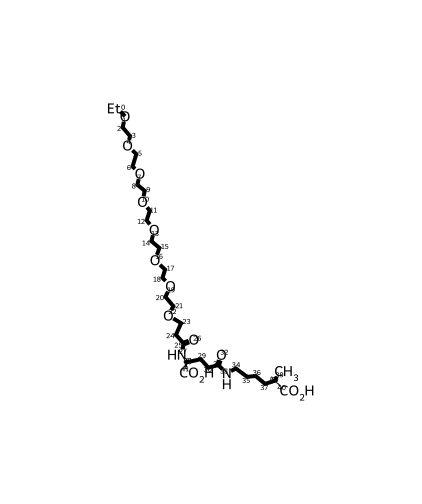 CCOCCOCCOCCOCCOCCOCCOCCOCCC(=O)N[C@@H](CCC(=O)NCCCC[C@H](C)C(=O)O)C(=O)O